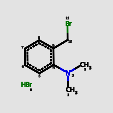 Br.CN(C)c1ccccc1CBr